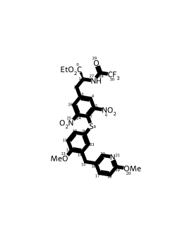 CCOC(=O)[C@H](Cc1cc([N+](=O)[O-])c(Sc2ccc(OC)c(Cc3ccc(OC)nc3)c2)c([N+](=O)[O-])c1)NC(=O)C(F)(F)F